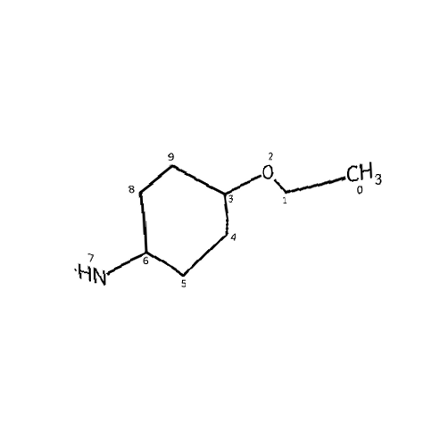 CCOC1CCC([NH])CC1